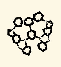 c1ccc(-c2cc(N3c4ccccc4Sc4cc5ccn(-c6ccccc6)c5cc43)cc(N3c4ccccc4Sc4cc5ccn(-c6ccccc6)c5cc43)c2)cc1